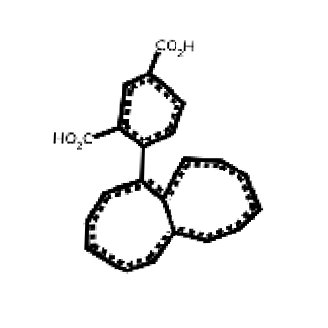 O=C(O)c1ccc(-c2cccccc3ccccccc2-3)c(C(=O)O)c1